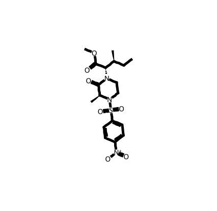 CC[C@H](C)[C@@H](C(=O)OC)N1CCN(S(=O)(=O)c2ccc([N+](=O)[O-])cc2)[C@@H](C)C1=O